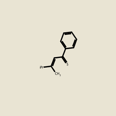 CC(=CC(=S)c1ccccc1)C(C)C